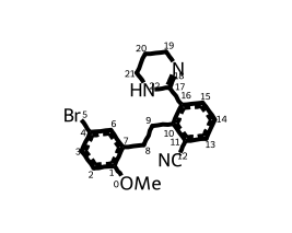 COc1ccc(Br)cc1CCc1c(C#N)cccc1C1=NCCCN1